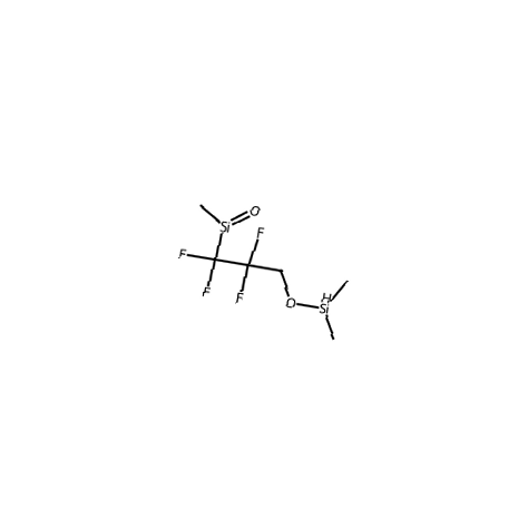 C[Si](=O)C(F)(F)C(F)(F)CO[SiH](C)C